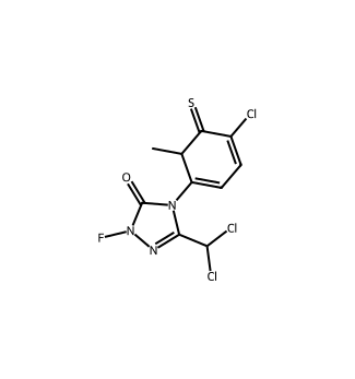 CC1C(=S)C(Cl)=CC=C1n1c(C(Cl)Cl)nn(F)c1=O